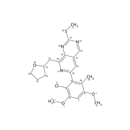 COc1cc(OC)c(Cl)c(-c2cc3cnc(SC)nc3c(CC3CCCO3)n2)c1C